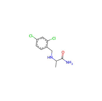 CC(NCc1ccc(Cl)cc1Cl)C(N)=O